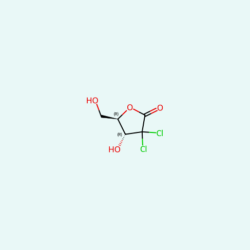 O=C1O[C@H](CO)[C@@H](O)C1(Cl)Cl